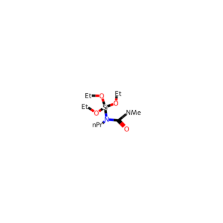 CCCN(C(=O)NC)[Si](OCC)(OCC)OCC